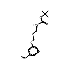 CC(C)(C)OC(=O)NCCCOc1cccc(C=O)c1